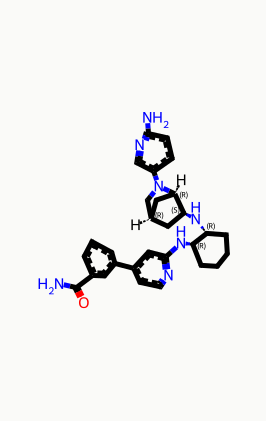 NC(=O)c1cccc(-c2ccnc(N[C@@H]3CCCC[C@H]3N[C@H]3C[C@@H]4C[C@H]3N(c3ccc(N)nc3)C4)c2)c1